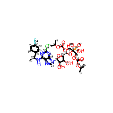 CC(C)OC(=O)OCC(COC(=O)OC(C)C)(OC[C@H]1O[C@@H](n2cnc3c(N[C@@H](C)c4ccc(F)cc4)nc(Cl)nc32)[C@H](O)[C@@H]1O)P(=O)(O)O